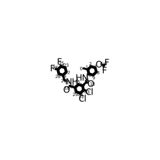 Cc1cc(OC(F)F)ccc1NC(=O)c1cc(C(=O)NCc2ccc(F)c(F)c2)cc(Cl)c1Cl